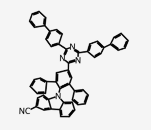 N#Cc1ccc2c(c1)c1ccccc1n2-c1c(-c2ccccc2)cc(-c2nc(-c3ccc(-c4ccccc4)cc3)nc(-c3ccc(-c4ccccc4)cc3)n2)cc1-c1ccccc1